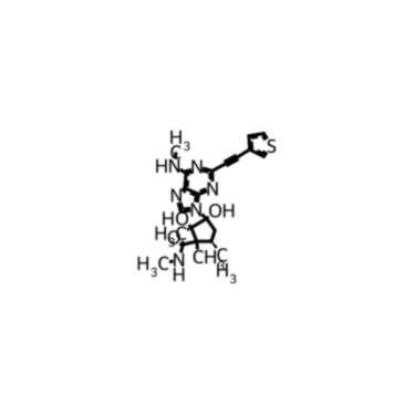 CNC(=O)C1(C)[C@H](C)C[C@](O)(n2cnc3c(NC)nc(C#Cc4ccsc4)nc32)[C@@]1(C)O